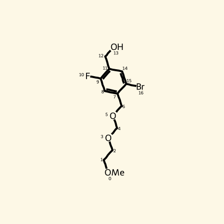 COCCOCOCc1cc(F)c(CO)cc1Br